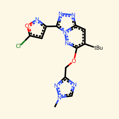 Cn1cnc(COc2nn3c(-c4cc(Cl)on4)nnc3cc2C(C)(C)C)n1